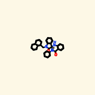 O=C1c2ccccc2N[C@]2(C(=O)N(Cc3cccc4ccccc34)c3ccccc32)N1c1ccccc1